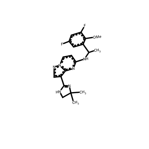 COc1c(F)cc(F)cc1C(C)Nc1ccn2ncc(C3=NC(C)(C)CN3)c2n1